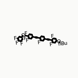 CCCCOc1cc(F)c(C#Cc2ccc(C#Cc3ccc(C(F)(F)Oc4cc(F)c(F)c(F)c4)c(F)c3)c(F)c2)c(F)c1